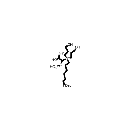 CCCCCCCCCCCCCCCC[N+](CCCO)(CCCO)C(OS(=O)(=O)O)C(O)CCC